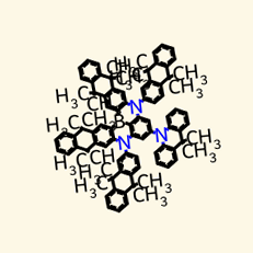 CC1(C)c2ccccc2N(c2cc3c4c(c2)N(c2ccc5c(c2)C(C)(C)c2ccccc2C5(C)C)c2cc5c(cc2B4c2cc4c(cc2N3c2ccc3c(c2)C(C)(C)c2ccccc2C3(C)C)C(C)(C)c2ccccc2C4(C)C)C(C)(C)c2ccccc2C5(C)C)c2ccccc21